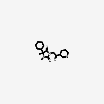 CN1C(=O)N(CC(=O)C2C=NCCC2)C(=O)C1(C)C1CCCCC1